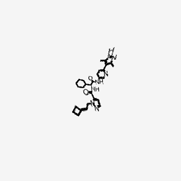 Cc1n[nH]c(C)c1-c1ccc(NC(=O)[C@@H](NC(=O)c2ccnn2CC=C2CCC2)C2CCCCC2)cn1